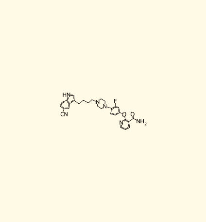 N#Cc1ccc2[nH]cc(CCCCN3CCN(c4ccc(Oc5ncccc5C(N)=O)cc4F)CC3)c2c1